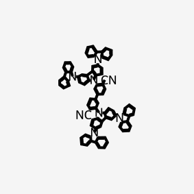 N#Cc1ccc(-c2ccc(C#N)c(-n3c4ccc(-n5c6ccccc6c6ccccc65)cc4c4cc(-n5c6ccccc6c6ccccc65)ccc43)c2)cc1-n1c2ccc(-n3c4ccccc4c4ccccc43)cc2c2cc(-n3c4ccccc4c4ccccc43)ccc21